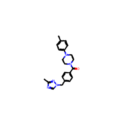 Cc1ccc(N2CCN(C(=O)c3ccc(Cn4cnc(C)n4)cc3)CC2)cc1